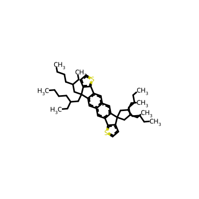 CCCCC(CC)CC1(CC(CC)CCCC)c2cc3cc4c(cc3cc2-c2sccc21)C(CC(CC)CCCC)(CC(CC)CCCC)c1ccsc1-4